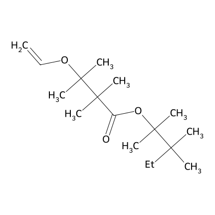 C=COC(C)(C)C(C)(C)C(=O)OC(C)(C)C(C)(C)CC